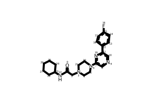 O=C(CN1CCN(c2cncc(-c3ccc(F)cc3)n2)CC1)NC1CCCCC1